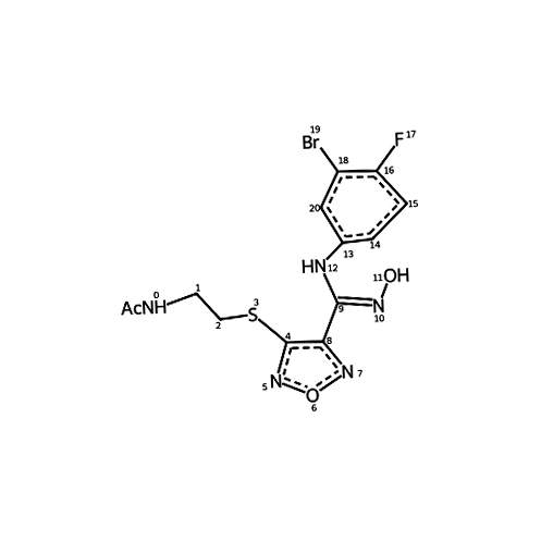 CC(=O)NCCSc1nonc1/C(=N/O)Nc1ccc(F)c(Br)c1